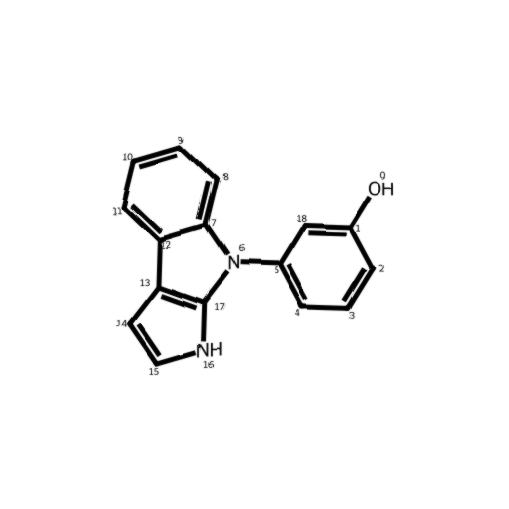 Oc1cccc(-n2c3ccccc3c3cc[nH]c32)c1